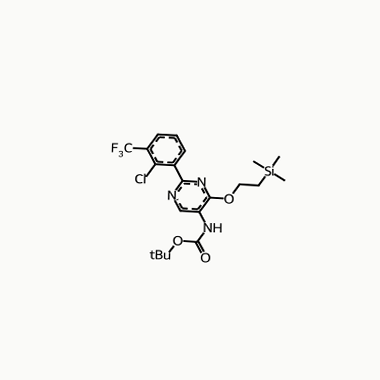 CC(C)(C)OC(=O)Nc1cnc(-c2cccc(C(F)(F)F)c2Cl)nc1OCC[Si](C)(C)C